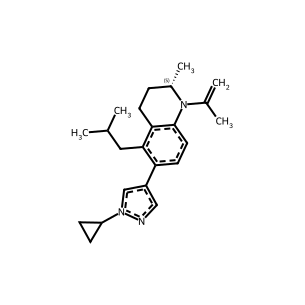 C=C(C)N1c2ccc(-c3cnn(C4CC4)c3)c(CC(C)C)c2CC[C@@H]1C